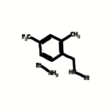 CCN.CCNCc1ccc(C(F)(F)F)cc1C